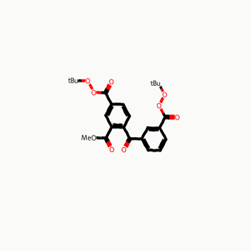 COC(=O)c1cc(C(=O)OOC(C)(C)C)ccc1C(=O)c1cccc(C(=O)OOC(C)(C)C)c1